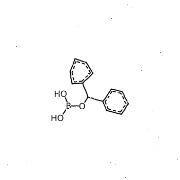 OB(O)OC(c1ccccc1)c1ccccc1